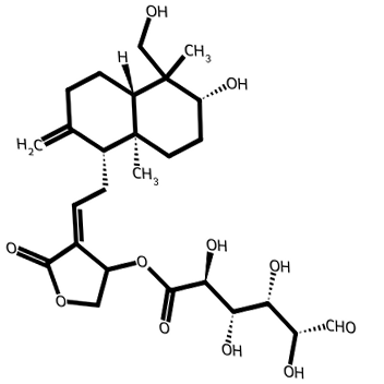 C=C1CC[C@@H]2C(C)(CO)[C@H](O)CC[C@@]2(C)[C@@H]1C/C=C1/C(=O)OCC1OC(=O)[C@@H](O)[C@@H](O)[C@H](O)[C@@H](O)C=O